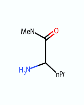 CCCC(N)C(=O)NC